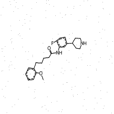 COc1ccccc1CCCCC(=O)Nc1cc(C2CCNCC2)ccc1F